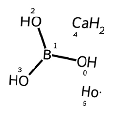 OB(O)O.[CaH2].[Ho]